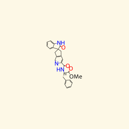 COC(=O)[C@H](Cc1ccccc1)NC(=O)c1cc2c(cn1)CC1(C2)C(=O)Nc2ccccc21